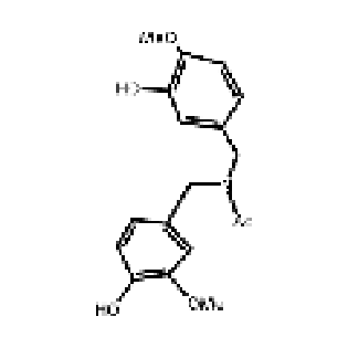 COc1ccc(CN(Cc2ccc(O)c(OC)c2)C(C)=O)cc1O